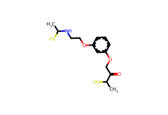 CC(S)NCCOc1cccc(OCC(=O)C(C)S)c1